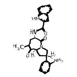 CC1C[C@H](NC(=O)c2cc3ccccc3[nH]2)C(=O)N2C[C@](C)(c3ccccc3N)C[C@H]2C1=O